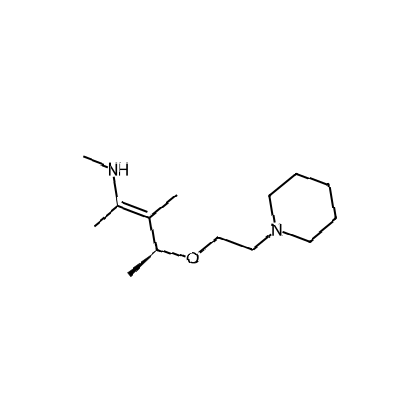 CN/C(C)=C(\C)[C@H](C)OCCN1CCCCC1